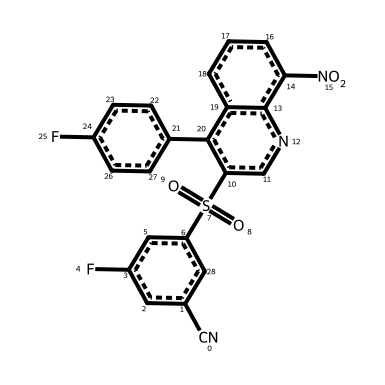 N#Cc1cc(F)cc(S(=O)(=O)c2cnc3c([N+](=O)[O-])cccc3c2-c2ccc(F)cc2)c1